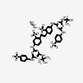 CC(C)(O)Nc1nc(Nc2ccc(S(=O)(=O)[O-])cc2)nc(Nc2ccc(C=Cc3ccc(Nc4nc(Nc5ccc(S(=O)(=O)[O-])cc5)nc(NC(C)(C)O)n4)cc3S(=O)(=O)[O-])c(S(=O)(=O)[O-])c2)n1.[Na+].[Na+].[Na+].[Na+]